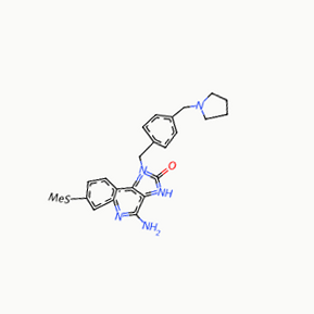 CSc1ccc2c(c1)nc(N)c1[nH]c(=O)n(Cc3ccc(CN4CCCC4)cc3)c12